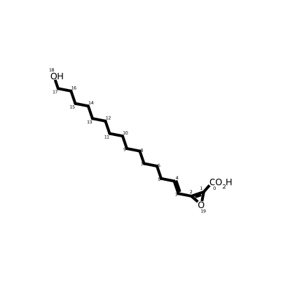 O=C(O)C1=C(C=CCCCCCCCCCCCCCO)O1